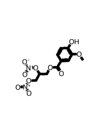 COc1cc(C(=O)OCC(CO[N+](=O)[O-])O[N+](=O)[O-])ccc1O